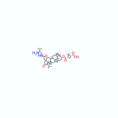 CC(C)C1=C2[C@H]3CC[C@@H]4[C@@]5(C)CC[C@H](OC(=O)[C@H]6C[C@@H](C(=O)O)C6(C)C)C(C)(C)[C@@H]5CC[C@@]4(C)[C@]3(C)CC[C@@]2(CC(=O)NC[C@@H](N)C(C)C)CC1=O